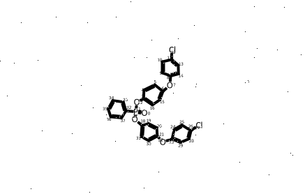 O=P(Oc1ccc(Oc2ccc(Cl)cc2)cc1)(Oc1ccc(Oc2ccc(Cl)cc2)cc1)c1ccccc1